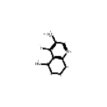 CCOC(=O)c1cnc2c(c1O)C(O)CCC2